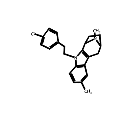 Cc1ccc2c(c1)c1c(n2CCc2ccc(Cl)cc2)C2CCC(C1)N2C